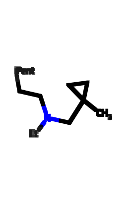 CCCC(C)CCN(CC)CC1(C)CC1